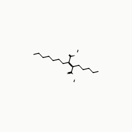 CCCCCCCC(C(=O)OC)=C(CCCCC)C(=O)OC